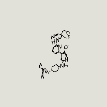 N#CC1(CNc2cccc(-c3cc(N[C@H]4CC[C@H](NCC5(C#N)CC5)CC4)ncc3Cl)n2)CCOCC1